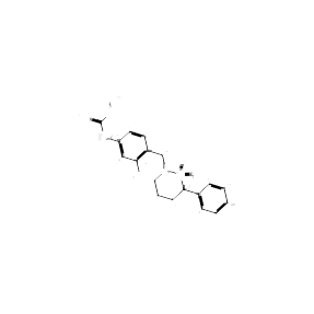 CC(C)(C)OC(=O)Nc1ccc(CN2CCCC(c3ccccc3)S2(=O)=O)c(F)c1